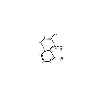 CC1=CCN2C=CC=C(O)C2=[N+]1[O-]